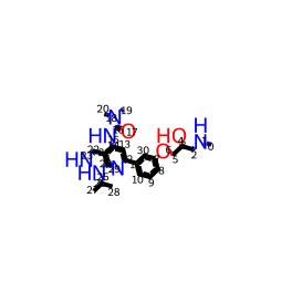 CNCC(O)COc1cccc(-c2cc(NC(=O)N(C)C)c(C=N)c(NC(C)C)n2)c1